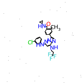 Cc1cc(-c2cnc3c(NCCC(F)(F)F)cc(Nc4cccc(Cl)c4)nn23)ccc1C(=O)NC1CC1